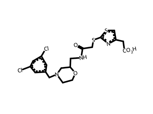 O=C(O)Cc1csc(SCC(=O)NCC2CN(Cc3cc(Cl)cc(Cl)c3)CCO2)n1